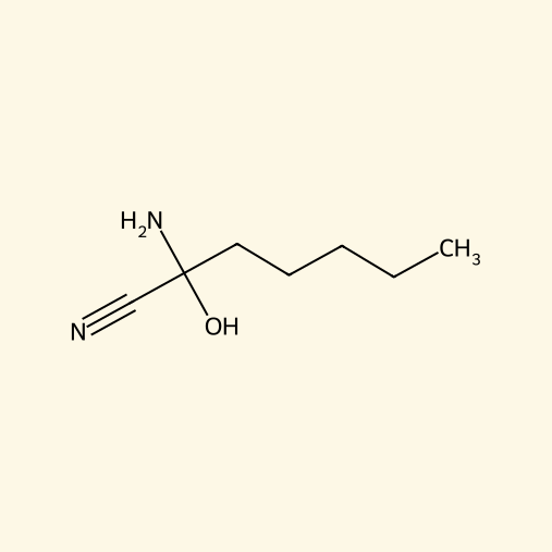 CCCCCC(N)(O)C#N